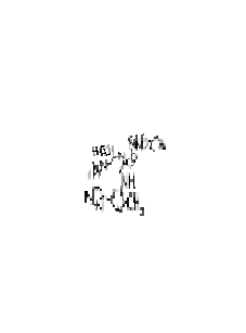 Cc1ccc(-c2ccncn2)cc1NCC(=O)N(CCNC(C)C)CC(=O)N(C)N1Cc2ccccc2C1.Cl.Cl